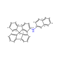 c1ccc2c(c1)-c1ccccc1C21c2ccccc2-c2ccc(Nc3ccc4ccccc4c3)cc21